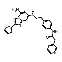 Nc1nc(NCCc2ccc(NC(=O)Cc3cccnc3)cc2)nc2nc(-c3ccco3)nn12